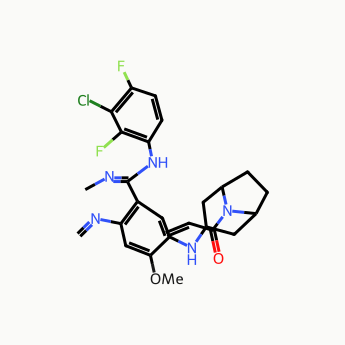 C=CC(=O)N1C2CCC1CC(Nc1cc(/C(=N\C)Nc3ccc(F)c(Cl)c3F)c(N=C)cc1OC)C2